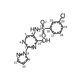 O=S(=O)(Nc1cnc(-n2cccn2)nc1O)c1cccc(Cl)c1